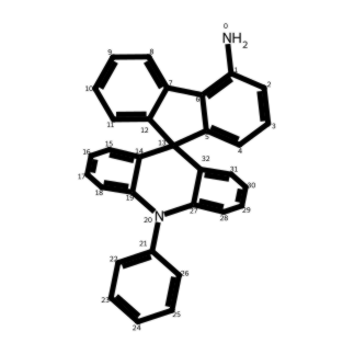 Nc1cccc2c1-c1ccccc1C21c2ccccc2N(c2ccccc2)c2ccccc21